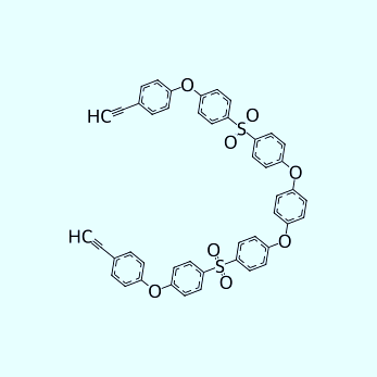 C#Cc1ccc(Oc2ccc(S(=O)(=O)c3ccc(Oc4ccc(Oc5ccc(S(=O)(=O)c6ccc(Oc7ccc(C#C)cc7)cc6)cc5)cc4)cc3)cc2)cc1